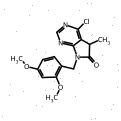 COc1ccc(CN2C(=O)C(C)c3c(Cl)ncnc32)c(OC)c1